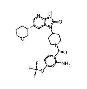 Nc1cc(OC(F)(F)F)ccc1C(=O)N1CCC(n2c(=O)[nH]c3ncc([C@H]4CCCOC4)cc32)CC1